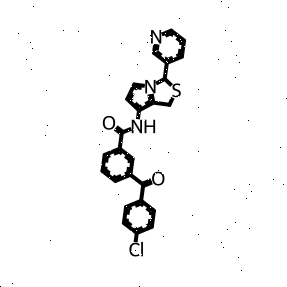 O=C(Nc1ccn2c1CSC2c1cccnc1)c1cccc(C(=O)c2ccc(Cl)cc2)c1